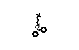 CC(C)(C)CCCCO[SiH](c1ccccc1)c1ccccc1